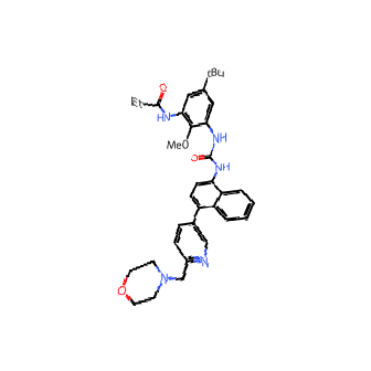 CCC(=O)Nc1cc(C(C)(C)C)cc(NC(=O)Nc2ccc(-c3ccc(CN4CCOCC4)nc3)c3ccccc23)c1OC